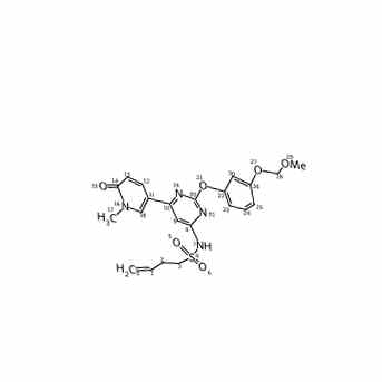 C=CCCS(=O)(=O)Nc1cc(-c2ccc(=O)n(C)c2)nc(Oc2cccc(OCOC)c2)n1